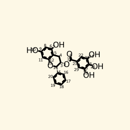 O=C(O[C@H]1Cc2c(O)cc(O)cc2O[C@H]1c1ccccc1)c1cc(O)c(O)c(O)c1